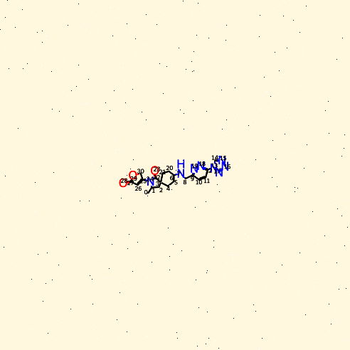 CC1CC2(CCC(NCc3ccc(-n4cnnn4)nn3)CC2)C(=O)N1C1=CC(=O)OC1